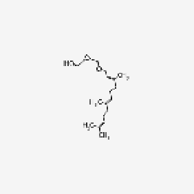 CC(C)=CCC/C(C)=C/CC/C(C)=C/COCC1CC1CO